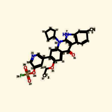 N#Cc1ccc2c(c1)[nH]c1c2c(=O)c2cc(OCC(F)(F)F)c(-c3cncc(OS(=O)(=O)F)c3)cc2n1C1CCCC1